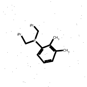 Cc1cccc(P(CC(C)C)CC(C)C)c1C